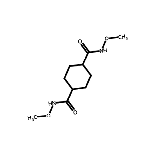 CONC(=O)C1CCC(C(=O)NOC)CC1